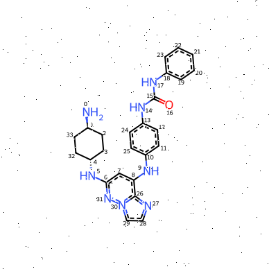 N[C@H]1CC[C@H](Nc2cc(Nc3ccc(NC(=O)Nc4ccccc4)cc3)c3nccn3n2)CC1